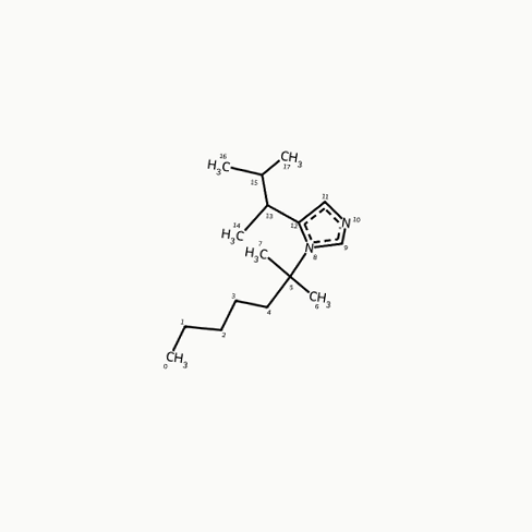 CCCCCC(C)(C)n1cncc1C(C)C(C)C